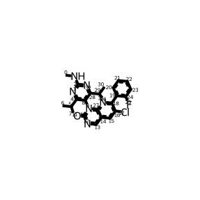 CNc1nc(C(C)C)c(-n2c(=O)ncc3cc(Cl)c(-c4ccccc4F)nc32)c(C(C)C)n1